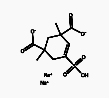 CC1(C(=O)[O-])C=C(S(=O)(=O)O)CC(C)(C(=O)[O-])C1.[Na+].[Na+]